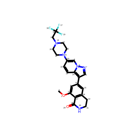 COc1cc(-c2cnn3cc(N4CCN(CC(F)(F)F)CC4)ccc23)cc2c1C(=O)NCC2